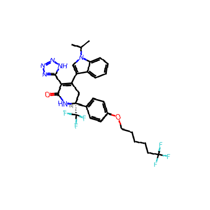 CC(C)n1cc(C2=C(c3nnn[nH]3)C(=O)N[C@@](c3ccc(OCCCCCC(F)(F)F)cc3)(C(F)(F)F)C2)c2ccccc21